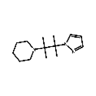 CC(C)(N1CCCCC1)C(C)(C)n1cccn1